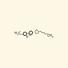 CCCCCC[C@H]1CC[C@H](c2ccc(-c3ccc(CC)cc3F)nc2)CC1